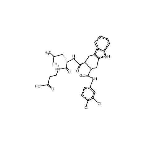 CC(C)C[C@H](NC(=O)[C@H]1Cc2c([nH]c3ccccc23)CN1C(=O)Nc1ccc(Cl)c(Cl)c1)C(=O)NCCC(=O)O